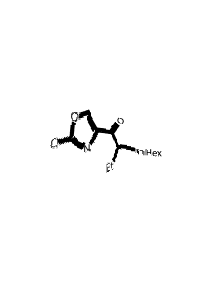 CCCCCCC(CC)C(=O)c1coc(Cl)n1